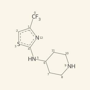 FC(F)(F)c1csc(NC2CCNCC2)n1